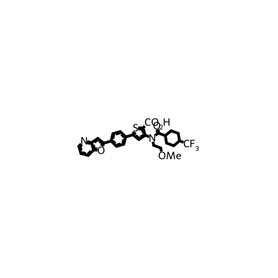 COCCN(C(=O)C1CCC(C(F)(F)F)CC1)c1cc(-c2ccc(-c3cc4ncccc4o3)cc2)sc1C(=O)O